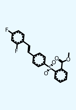 COC(=O)c1ccccc1S(=O)(=O)c1ccc(C=Cc2ccc(F)cc2F)cc1